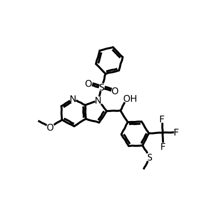 COc1cnc2c(c1)cc(C(O)c1ccc(SC)c(C(F)(F)F)c1)n2S(=O)(=O)c1ccccc1